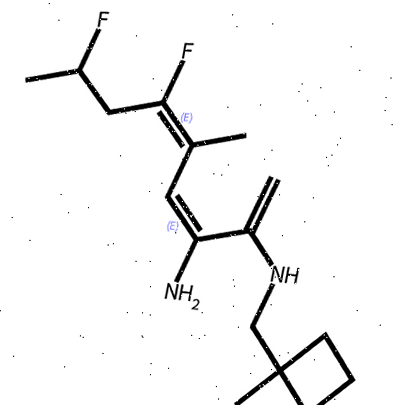 C=C(NCC1(C)CCC1)/C(N)=C\C(C)=C(\F)CC(C)F